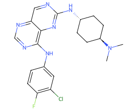 CN(C)[C@H]1CC[C@H](Nc2ncc3ncnc(Nc4ccc(F)c(Cl)c4)c3n2)CC1